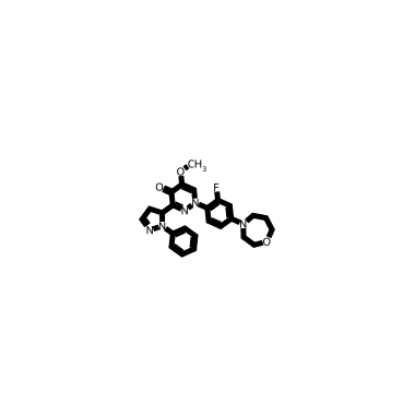 COc1cn(-c2ccc(N3CCCOCC3)cc2F)nc(C2CC=NN2c2ccccc2)c1=O